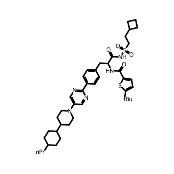 CCCC1CCC(C2CCN(c3cnc(-c4ccc(CC(NC(=O)c5ccc(C(C)(C)C)s5)C(=O)NS(=O)(=O)CCC5CCC5)cc4)nc3)CC2)CC1